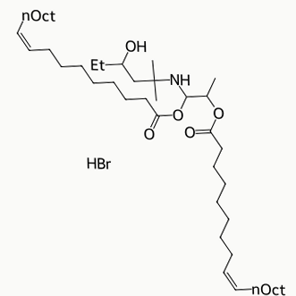 Br.CCCCCCCC/C=C\CCCCCCCC(=O)OC(C)C(NC(C)(C)CC(O)CC)OC(=O)CCCCCCC/C=C\CCCCCCCC